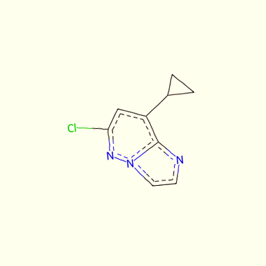 Clc1cc(C2CC2)c2nccn2n1